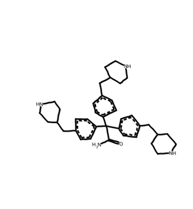 NC(=O)C(c1ccc(CC2CCNCC2)cc1)(c1ccc(CC2CCNCC2)cc1)c1ccc(CC2CCNCC2)cc1